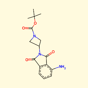 CC(C)(C)OC(=O)N1CC(N2C(=O)c3cccc(N)c3C2=O)C1